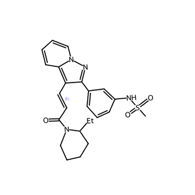 CCC1CCCCN1C(=O)/C=C/c1c(-c2cccc(NS(C)(=O)=O)c2)nn2ccccc12